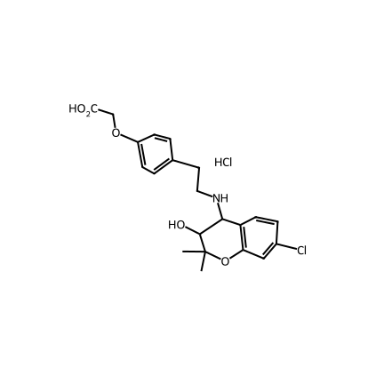 CC1(C)Oc2cc(Cl)ccc2C(NCCc2ccc(OCC(=O)O)cc2)C1O.Cl